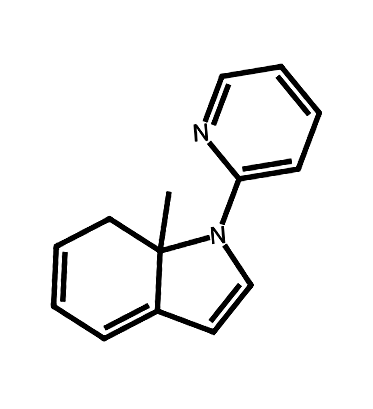 CC12CC=CC=C1C=CN2c1ccccn1